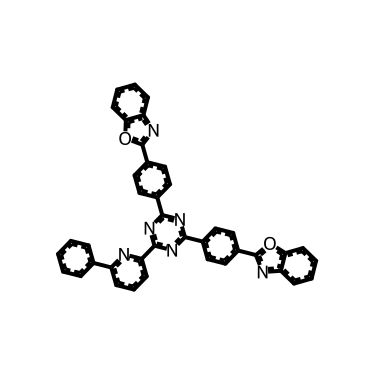 c1ccc(-c2cccc(-c3nc(-c4ccc(-c5nc6ccccc6o5)cc4)nc(-c4ccc(-c5nc6ccccc6o5)cc4)n3)n2)cc1